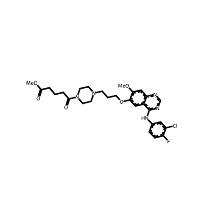 COC(=O)CCCC(=O)N1CCN(CCCOc2cc3c(Nc4ccc(F)c(Cl)c4)ncnc3cc2OC)CC1